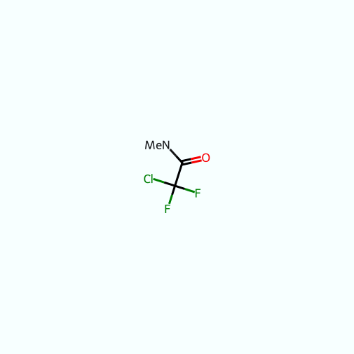 CNC(=O)C(F)(F)Cl